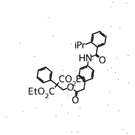 CCOC(=O)C(COC(=O)Cc1ccc(NC(=O)c2ccccc2C(C)C)cc1)(C(=O)OCC)c1ccccc1